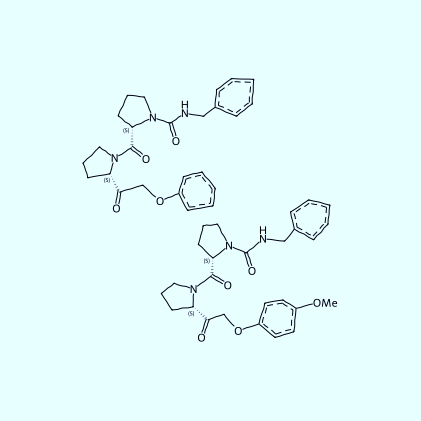 COc1ccc(OCC(=O)[C@@H]2CCCN2C(=O)[C@@H]2CCCN2C(=O)NCc2ccccc2)cc1.O=C(COc1ccccc1)[C@@H]1CCCN1C(=O)[C@@H]1CCCN1C(=O)NCc1ccccc1